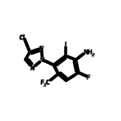 Nc1c(F)cc(C(F)(F)F)c(-n2ncc(Cl)n2)c1I